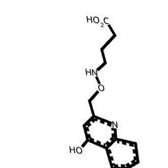 O=C(O)CCCNOCc1cc(O)c2ccccc2n1